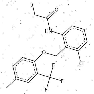 CCC(=O)Nc1cccc(Cl)c1COc1ccc(C)cc1C(F)(F)F